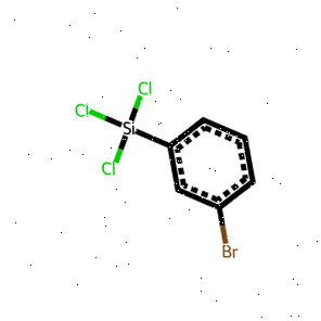 Cl[Si](Cl)(Cl)c1cccc(Br)c1